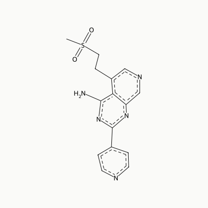 CS(=O)(=O)CCc1cncc2nc(-c3ccncc3)nc(N)c12